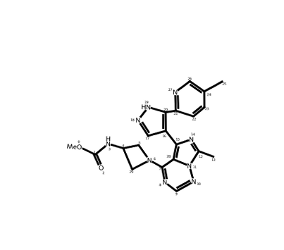 COC(=O)NC1CN(c2ncnn3c(C)nc(-c4cn[nH]c4-c4ccc(C)cn4)c23)C1